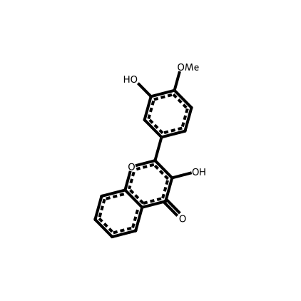 COc1ccc(-c2oc3ccccc3c(=O)c2O)cc1O